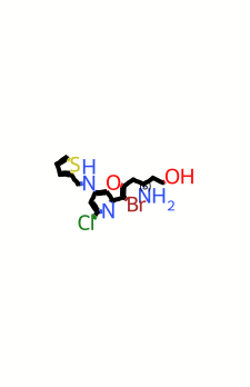 N[C@@H](CCO)Cc1oc2c(NCc3cccs3)cc(Cl)nc2c1Br